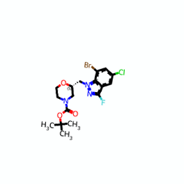 CC(C)(C)OC(=O)N1CCO[C@H](Cn2nc(F)c3cc(Cl)cc(Br)c32)C1